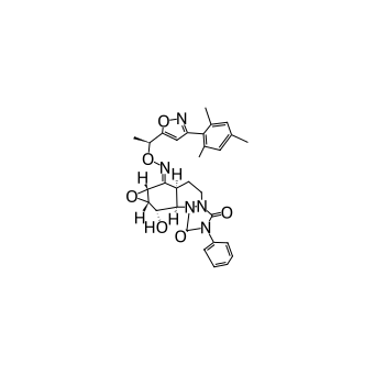 Cc1cc(C)c(-c2cc([C@H](C)O/N=C3/[C@H]4CCn5c(=O)n(-c6ccccc6)c(=O)n5[C@H]4[C@H](O)[C@@H]4O[C@H]34)on2)c(C)c1